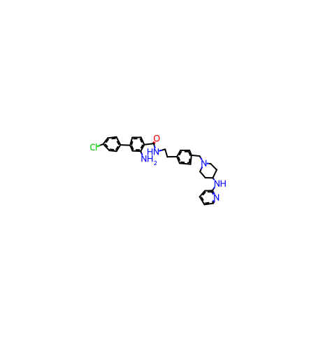 Nc1cc(-c2ccc(Cl)cc2)ccc1C(=O)NCCc1ccc(CN2CCC(Nc3ccccn3)CC2)cc1